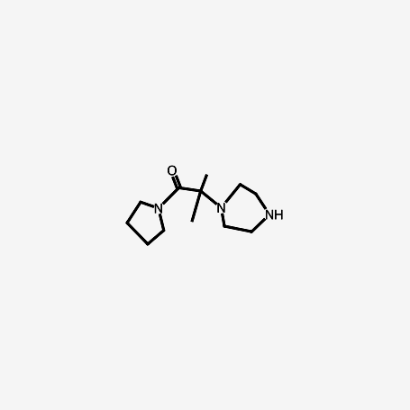 CC(C)(C(=O)N1CCCC1)N1CCNCC1